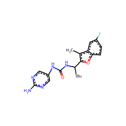 Cc1c(C(NC(=O)Nc2cnc(N)nc2)C(C)(C)C)oc2ccc(F)cc12